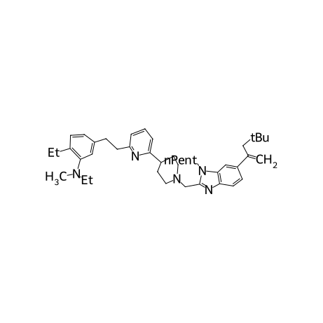 C=C(CC(C)(C)C)c1ccc2nc(CN3CCC(c4cccc(CCc5ccc(CC)c(N(C)CC)c5)n4)CC3)n(CCCCC)c2c1